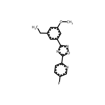 CCc1cc(OC)cc(-c2noc(-c3ccc(F)cn3)n2)c1